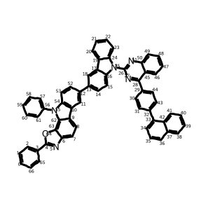 c1ccc(-c2nc3ccc4c5cc(-c6ccc7c(c6)c6ccccc6n7-c6nc(-c7ccc(-c8cccc9ccccc89)cc7)c7ccccc7n6)ccc5n(-c5ccccc5)c4c3o2)cc1